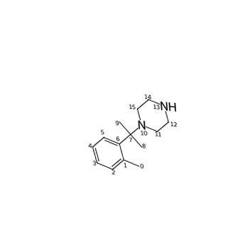 Cc1ccccc1C(C)(C)N1CCNCC1